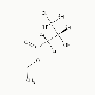 [2H]C([2H])(Cl)[C@]([2H])(O)C([2H])([2H])C(=O)OCC